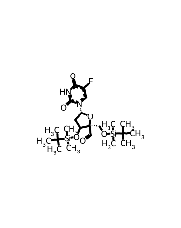 CC(C)(C)[Si](C)(C)OC[C@@]1(C=O)O[C@@H](n2cc(F)c(=O)[nH]c2=O)CC1O[Si](C)(C)C(C)(C)C